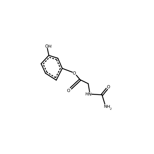 NC(=O)NCC(=O)Oc1cccc(O)c1